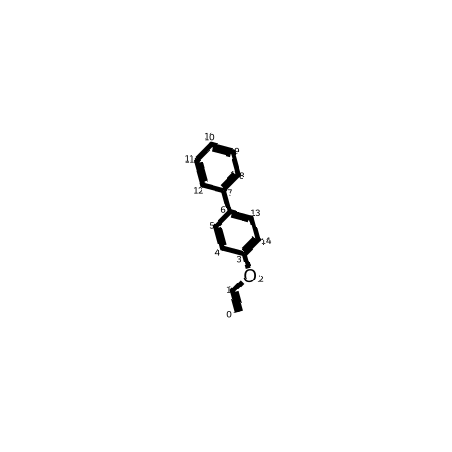 C=COc1ccc(-c2ccccc2)cc1